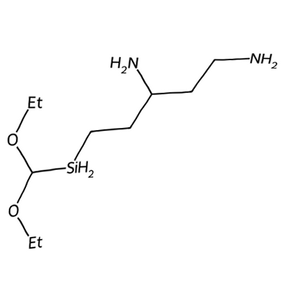 CCOC(OCC)[SiH2]CCC(N)CCN